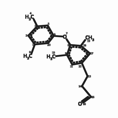 Cc1cc(C)cc(Oc2c(C)cc(CCC=O)cc2C)c1